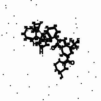 C[C@H]1CCCN(C(=O)c2cc(C(F)(F)F)c3cn(-c4cccc([C@@H](C5CCC5)C5(C6C=CCCCC6)NNCN5C)c4)c(=O)n3c2)C1